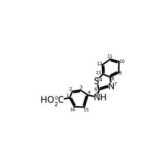 O=C(O)c1ccc(Nc2nc3ccccc3s2)cc1